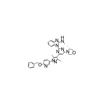 CNc1nc2ccccc2n1-c1nc(-c2c(C)nn(-c3ccc(OCc4ccccc4)nc3)c2C)cc(N2CCOC[C@H]2C)n1